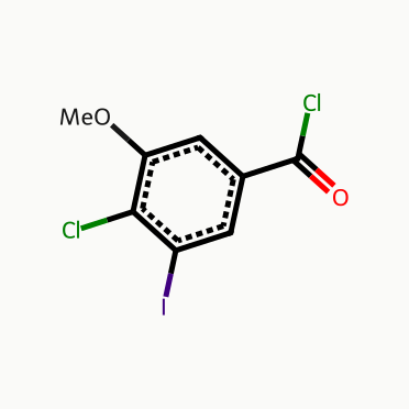 COc1cc(C(=O)Cl)cc(I)c1Cl